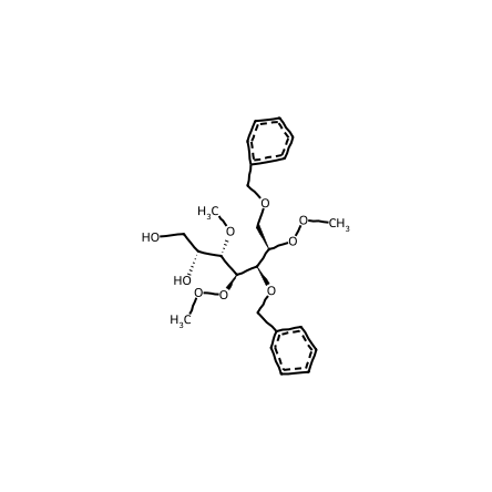 COO[C@@H]([C@@H](OC)[C@H](O)CO)[C@H](OCc1ccccc1)[C@@H](COCc1ccccc1)OOC